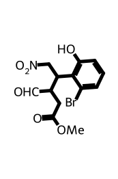 COC(=O)CC(C=O)C(C[N+](=O)[O-])c1c(O)cccc1Br